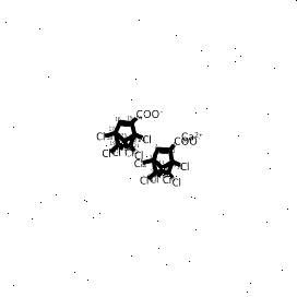 O=C([O-])C1=CC2(Cl)C(Cl)C(Cl)C1(Cl)C2(Cl)Cl.O=C([O-])C1=CC2(Cl)C(Cl)C(Cl)C1(Cl)C2(Cl)Cl.[Ca+2]